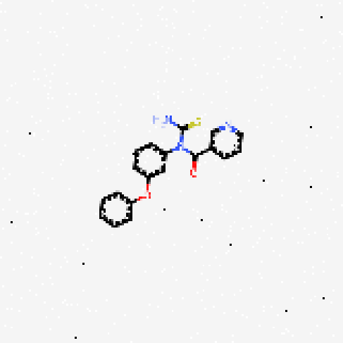 NC(=S)N(C(=O)c1cccnc1)c1cccc(Oc2ccccc2)c1